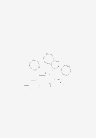 C[C@H](c1ccc(Cl)cc1)N1C(=O)C[C@](Sc2ccccc2)(C(=O)N2CCNC(=O)C2)[C@H]1c1c[nH]c2cc(Cl)ccc12